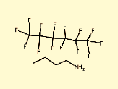 CCCCN.FC(F)(F)C(F)(F)C(F)(F)C(F)(F)C(F)(F)C(F)(F)F